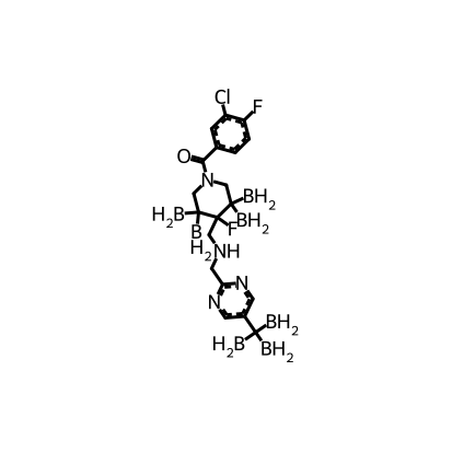 BC(B)(B)c1cnc(CNCC2(F)C(B)(B)CN(C(=O)c3ccc(F)c(Cl)c3)CC2(B)B)nc1